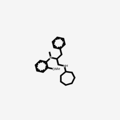 COc1ccccc1N(C)C(CNC1CCCCCC1)Cc1ccccc1